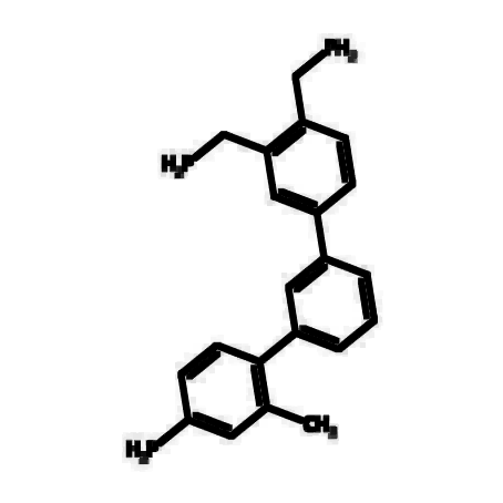 Cc1cc(P)ccc1-c1cccc(-c2ccc(CP)c(CP)c2)c1